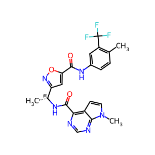 Cc1ccc(NC(=O)c2cc([C@@H](C)NC(=O)c3ncnc4c3ccn4C)no2)cc1C(F)(F)F